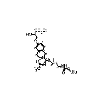 CCOC(=O)[C@H](O)COc1ccc2c(c1)CCN(/C(=N\C(=O)C(F)(F)F)NCCCNC(=O)OC(C)(C)C)C2